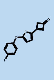 O=C1C=C(c2ccc(Oc3ccc(F)cc3)o2)C1